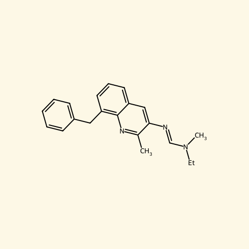 CCN(C)C=Nc1cc2cccc(Cc3ccccc3)c2nc1C